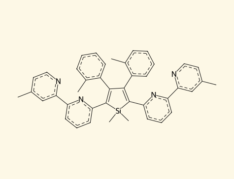 Cc1ccnc(-c2cccc(C3=C(c4ccccc4C)C(c4ccccc4C)=C(c4cccc(-c5cc(C)ccn5)n4)[Si]3(C)C)n2)c1